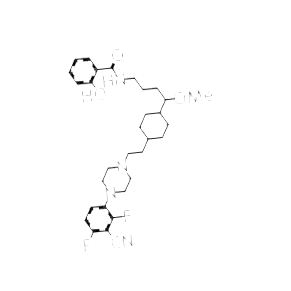 COC(CCCNC(=O)c1ccccc1O)C1CCC(CCN2CCN(c3ccc(F)c(C#N)c3F)CC2)CC1